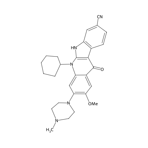 COc1cc2c(=O)c3c4ccc(C#N)cc4[nH]c3n(C3CCCCC3)c2cc1N1CCN(C)CC1